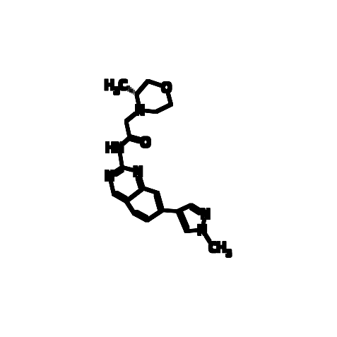 C[C@@H]1COCCN1CC(=O)Nc1ncc2ccc(-c3cnn(C)c3)cc2n1